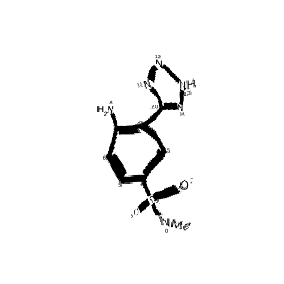 CNS(=O)(=O)c1ccc(N)c(-c2nn[nH]n2)c1